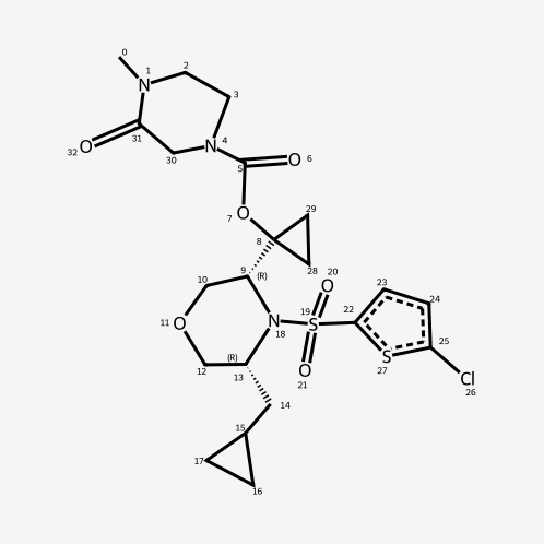 CN1CCN(C(=O)OC2([C@H]3COC[C@@H](CC4CC4)N3S(=O)(=O)c3ccc(Cl)s3)CC2)CC1=O